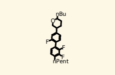 CCCCCc1ccc(-c2ccc(C3CCC(CCCC)OC3)cc2F)c(F)c1F